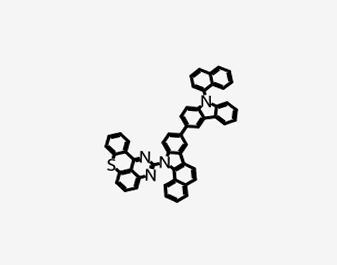 c1ccc2c(c1)Sc1cccc3nc(-n4c5ccc(-c6ccc7c(c6)c6ccccc6n7-c6cccc7ccccc67)cc5c5ccc6ccccc6c54)nc-2c13